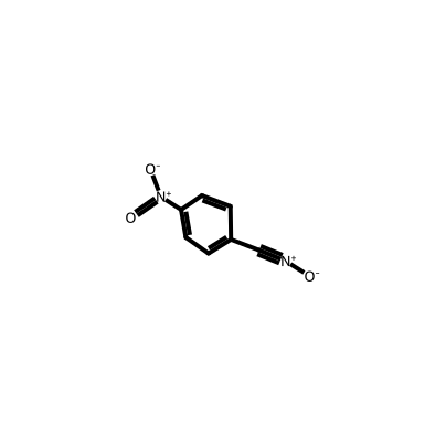 O=[N+]([O-])c1ccc(C#[N+][O-])cc1